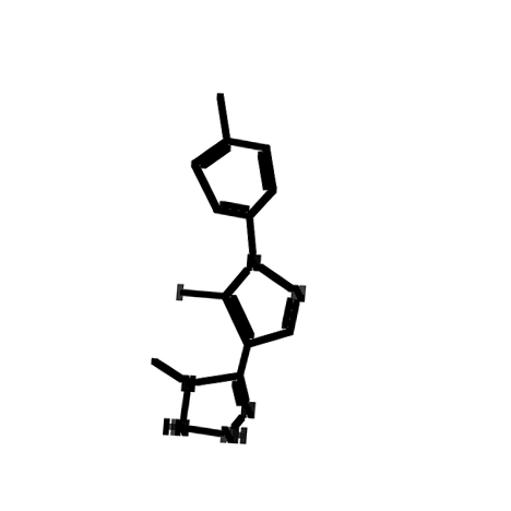 Cc1ccc(-n2ncc(C3=NNNN3C)c2I)cc1